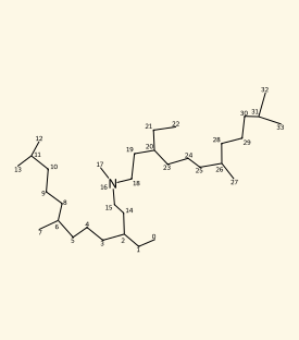 CCC(CCCC(C)CCCC(C)C)CCN(C)CCC(CC)CCCC(C)CCCC(C)C